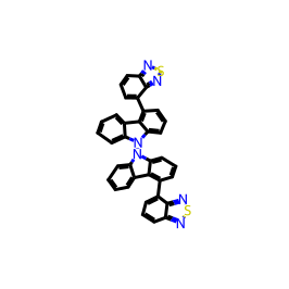 c1cc(-c2cccc3c2c2ccccc2n3-n2c3ccccc3c3c(-c4cccc5nsnc45)cccc32)c2nsnc2c1